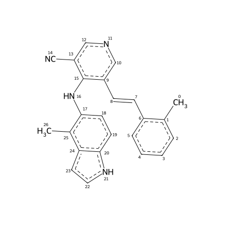 Cc1ccccc1C=Cc1cncc(C#N)c1Nc1ccc2[nH]ccc2c1C